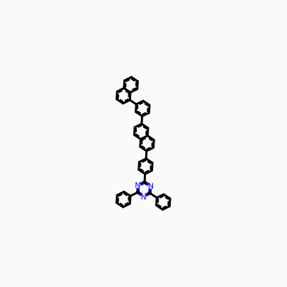 c1ccc(-c2nc(-c3ccccc3)nc(-c3ccc(-c4ccc5cc(-c6cccc(-c7cccc8ccccc78)c6)ccc5c4)cc3)n2)cc1